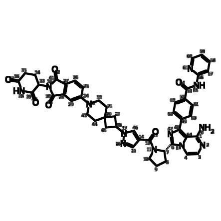 Nc1nccn2c([C@@H]3CCCN3C(=O)c3cnn(C4CC5(CCN(c6ccc7c(c6)C(=O)N(C6CCC(=O)NC6=O)C7=O)CC5)C4)c3)nc(-c3ccc(C(=O)Nc4ccccn4)cc3)c12